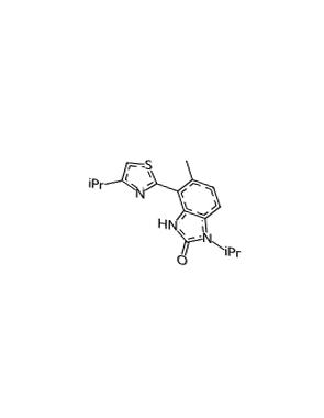 Cc1ccc2c([nH]c(=O)n2C(C)C)c1-c1nc(C(C)C)cs1